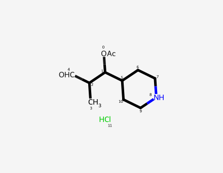 CC(=O)OC(C(C)C=O)C1CCNCC1.Cl